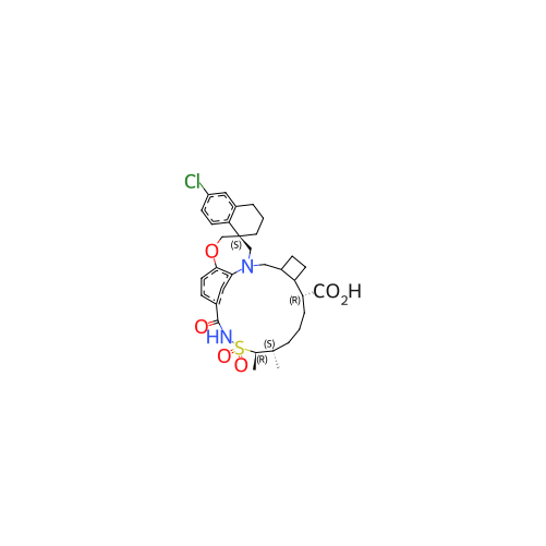 C[C@@H]1[C@@H](C)CCC[C@@H](C(=O)O)C2CCC2CN2C[C@@]3(CCCc4cc(Cl)ccc43)COc3ccc(cc32)C(=O)NS1(=O)=O